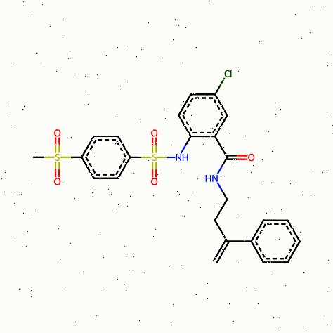 C=C(CCNC(=O)c1cc(Cl)ccc1NS(=O)(=O)c1ccc(S(C)(=O)=O)cc1)c1ccccc1